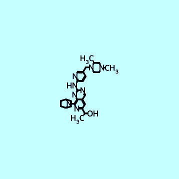 CC(O)c1cc2cnc(Nc3ccc(CN4CCN(C)C[C@@H]4C)cn3)nc2c(N2C3CCC2CC3)n1